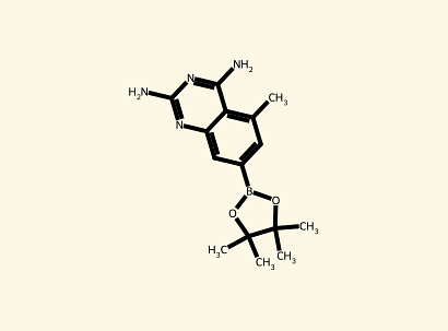 Cc1cc(B2OC(C)(C)C(C)(C)O2)cc2nc(N)nc(N)c12